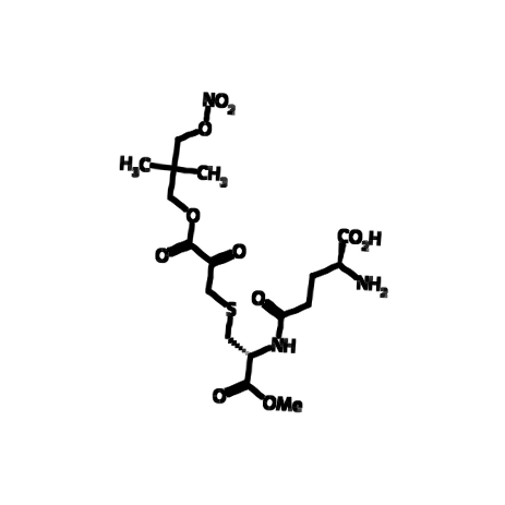 COC(=O)[C@H](CSCC(=O)C(=O)OCC(C)(C)CO[N+](=O)[O-])NC(=O)CC[C@H](N)C(=O)O